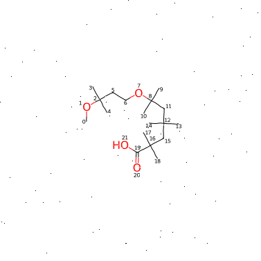 COC(C)(C)CCOC(C)(C)CC(C)(C)CC(C)(C)C(=O)O